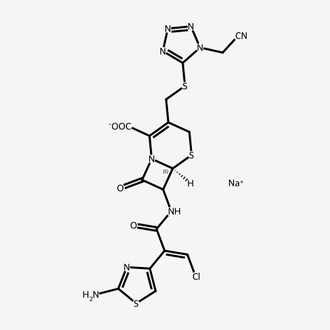 N#CCn1nnnc1SCC1=C(C(=O)[O-])N2C(=O)C(NC(=O)C(=CCl)c3csc(N)n3)[C@@H]2SC1.[Na+]